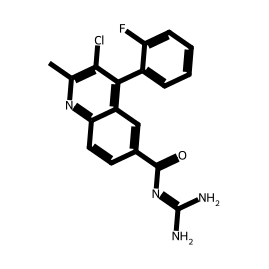 Cc1nc2ccc(C(=O)N=C(N)N)cc2c(-c2ccccc2F)c1Cl